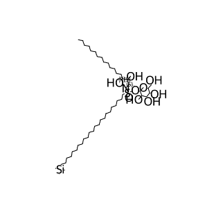 CCCCCCCCCCCCCC[C@@H](O)[C@@H](O)[C@H](COC1OC(CO)C(O)C(O)C1O)N=S(C)(=O)CCCCCCCCCCCCCCCCCCCCCCC[Si](C)(C)C